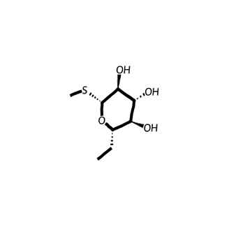 CC[C@@H]1O[C@H](SC)[C@@H](O)[C@H](O)[C@H]1O